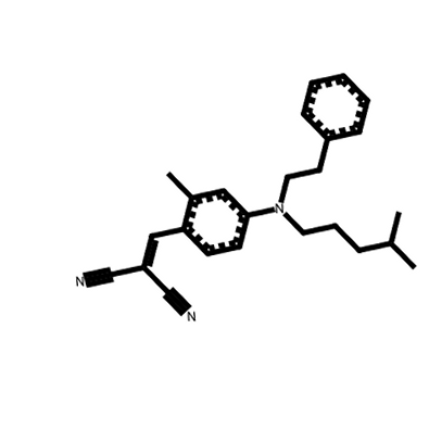 Cc1cc(N(CCCC(C)C)CCc2ccccc2)ccc1C=C(C#N)C#N